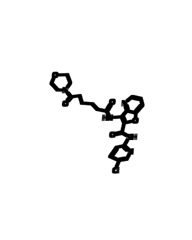 O=C(CCCCC(=O)N1CCOCC1)Nc1c(C(=O)Nc2ccc(Cl)cn2)oc2cccnc12